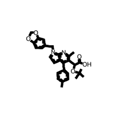 Cc1ccc(-c2c(C(OC(C)(C)C)C(=O)O)c(C)nc3c2ccn3Cc2ccc3c(c2)OCO3)cc1